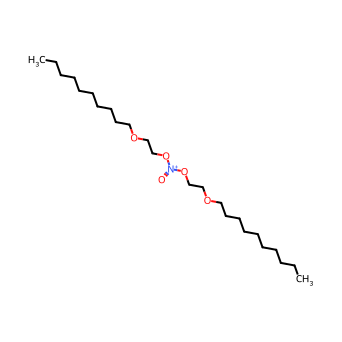 CCCCCCCCCCOCCO[N+](=O)OCCOCCCCCCCCCC